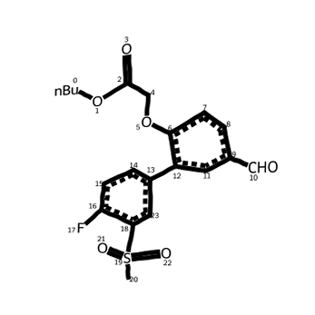 CCCCOC(=O)COc1ccc(C=O)cc1-c1ccc(F)c(S(C)(=O)=O)c1